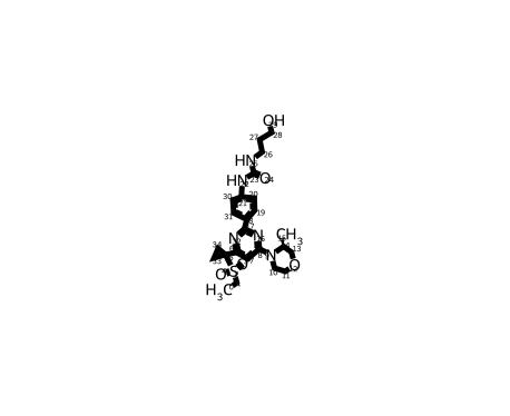 CCS(=O)(=O)C1(c2cc(N3CCOC[C@@H]3C)nc(-c3ccc(NC(=O)NCCCO)cc3)n2)CC1